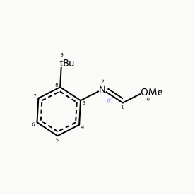 CO/C=N/c1ccccc1C(C)(C)C